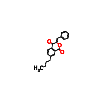 CCCCc1ccc2c(c1)C(=O)OC(=Cc1ccccc1)C2=O